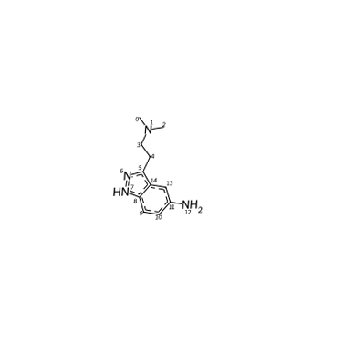 CN(C)CCc1n[nH]c2ccc(N)cc12